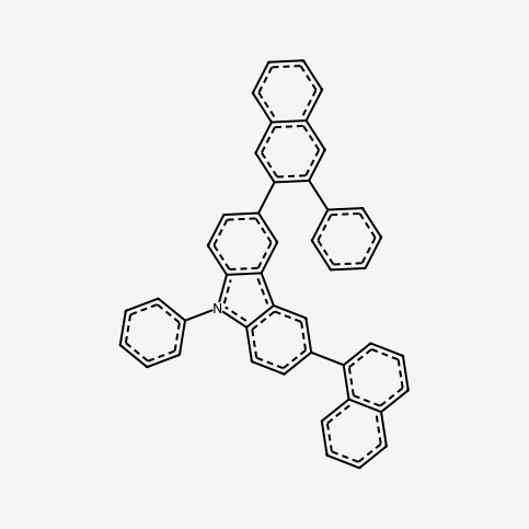 c1ccc(-c2cc3ccccc3cc2-c2ccc3c(c2)c2cc(-c4cccc5ccccc45)ccc2n3-c2ccccc2)cc1